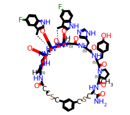 C[C@@]12CCCN1C(=O)[C@H](Cc1ccc(O)cc1)NC(=O)[C@H](Cc1cnc[nH]1)NC(=O)[C@@H]1CC(=O)NCCCC[C@H](NC(=O)CCSCc3cccc(c3)CSC[C@@H](C(N)=O)NC2=O)C(=O)NCC(=O)N[C@@H](Cc2c[nH]c3ccc(F)cc23)C(=O)N[C@@H](Cc2c[nH]c3ccc(F)cc23)C(=O)N1